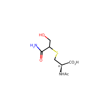 CC(=O)N[C@@H](CSC(CO)C(N)=O)C(=O)O